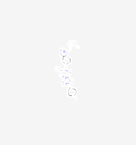 CCn1ncc2cc(C3=Nc4nc(-c5ccc(F)cc5)nn4CC3=O)ccc21